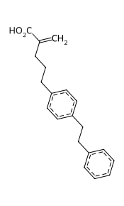 C=C(CCCc1ccc(CCc2ccccc2)cc1)C(=O)O